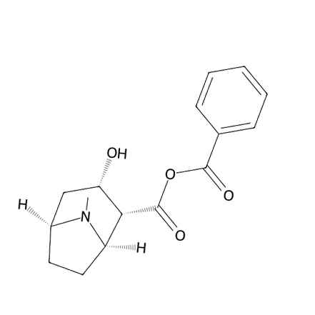 CN1[C@H]2CC[C@@H]1[C@@H](C(=O)OC(=O)c1ccccc1)[C@@H](O)C2